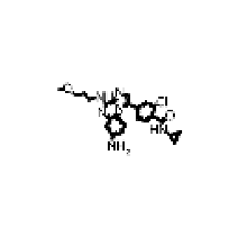 COCCCNc1nc2cc(N)ccc2n2c(-c3ccc(C(=O)NC4CC4)c(Cl)c3)cnc12